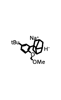 COCOc1ccc(C(C)(C)C)cc1C12CC3CC(CC(C3)C1)C2.[H-].[Na+]